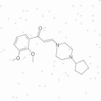 COc1cccc(C(=O)C=CN2CCN(C3CCCC3)CC2)c1OC